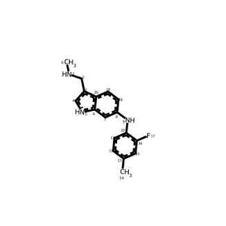 CNCc1c[nH]c2cc(Nc3ccc(C)cc3F)ccc12